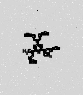 CCCCOCN(C)c1nc(N(C)COCCCC)nc(N(COCCCC)COCCCC)n1